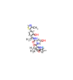 Cc1ncsc1-c1ccc(C(C)NC(=O)[C@@H]2C[C@@H](O)CN2C(=O)C(NC(=O)C2(F)CC2)C(C)(C)C)c(O)c1